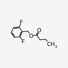 CCCC(=O)OCc1c(F)cccc1F